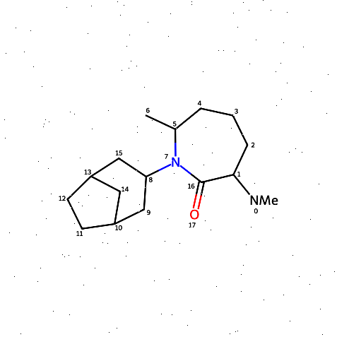 CNC1CCCC(C)N(C2CC3CCC(C3)C2)C1=O